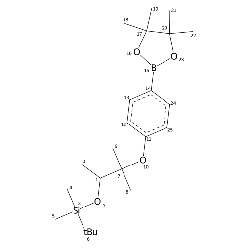 CC(O[Si](C)(C)C(C)(C)C)C(C)(C)Oc1ccc(B2OC(C)(C)C(C)(C)O2)cc1